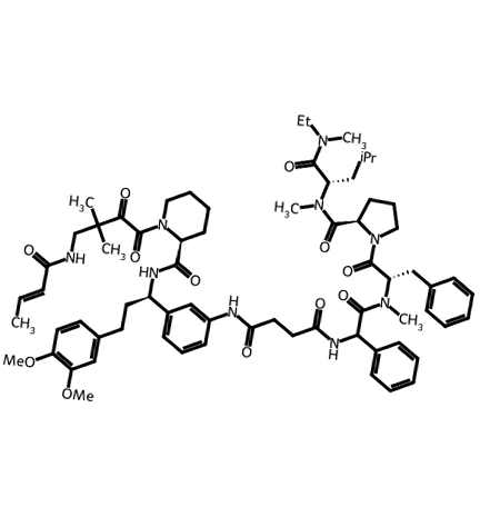 C/C=C/C(=O)NCC(C)(C)C(=O)C(=O)N1CCCC[C@H]1C(=O)N[C@H](CCc1ccc(OC)c(OC)c1)c1cccc(NC(=O)CCC(=O)NC(C(=O)N(C)[C@@H](Cc2ccccc2)C(=O)N2CCC[C@@H]2C(=O)N(C)[C@@H](CC(C)C)C(=O)N(C)CC)c2ccccc2)c1